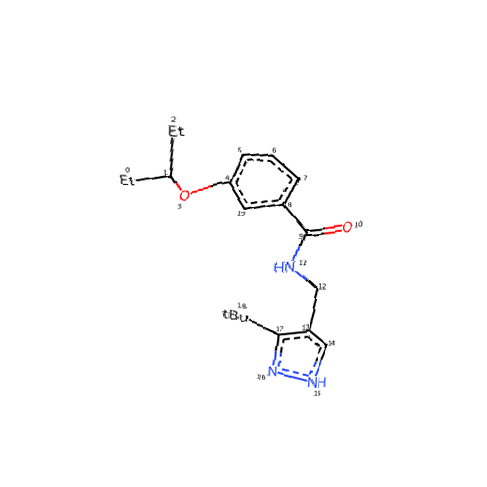 CCC(CC)Oc1cccc(C(=O)NCc2c[nH]nc2C(C)(C)C)c1